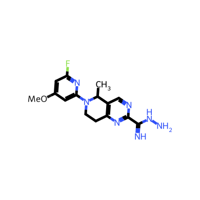 COc1cc(F)nc(N2CCc3nc(C(=N)NN)ncc3C2C)c1